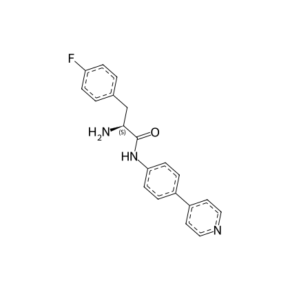 N[C@@H](Cc1ccc(F)cc1)C(=O)Nc1ccc(-c2ccncc2)cc1